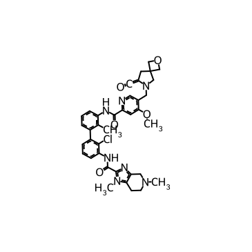 COc1cc(C(=O)Nc2cccc(-c3cccc(NC(=O)c4nc5c(n4C)CCN(C)C5)c3Cl)c2C)ncc1CN1CC2(COC2)CC1=C=O